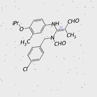 C/C(C=O)=C(/Nc1ccc(OC(C)C)c(C)c1)N(C=O)Cc1ccc(Cl)cc1